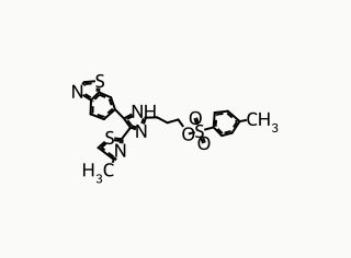 Cc1ccc(S(=O)(=O)OCCCc2nc(-c3nc(C)cs3)c(-c3ccc4ncsc4c3)[nH]2)cc1